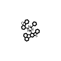 c1ccc(-c2nc(-c3cccc4oc5ccccc5c34)nc(-c3c4c(cc5sc6ccccc6c35)-c3cccc5cccc-4c35)n2)cc1